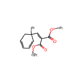 CCCOC(=O)C(=CC1(C(C)C)C=CC=CC1)C(=O)OCCC